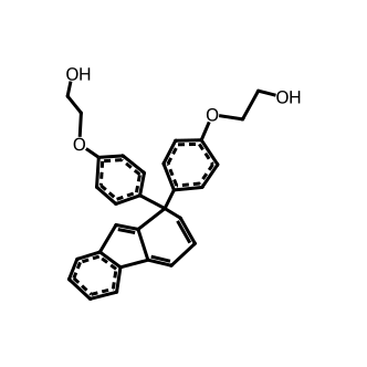 OCCOc1ccc(C2(c3ccc(OCCO)cc3)C=CC=C3C2=Cc2ccccc23)cc1